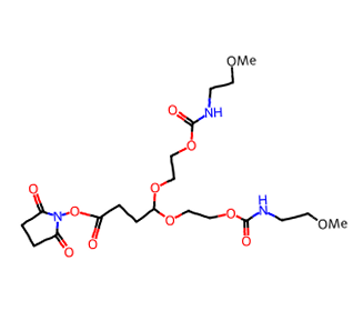 COCCNC(=O)OCCOC(CCC(=O)ON1C(=O)CCC1=O)OCCOC(=O)NCCOC